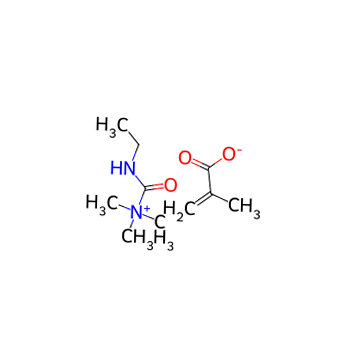 C=C(C)C(=O)[O-].CCNC(=O)[N+](C)(C)C